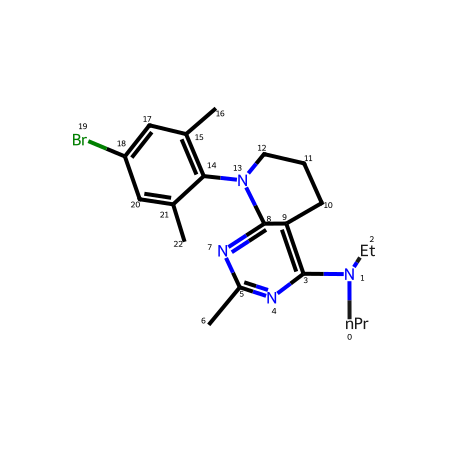 CCCN(CC)c1nc(C)nc2c1CCCN2c1c(C)cc(Br)cc1C